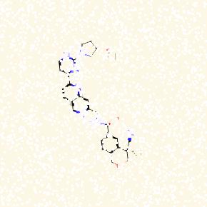 CO[C@H]1CCN(c2nccc(-c3ccc4cnc(CNC(=O)c5ccc6c(c5)[C@](C)(C#N)COC6)cc4n3)n2)C1